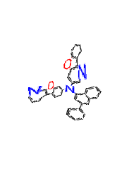 c1ccc(-c2cc(N(c3ccc4c(c3)oc3ncccc34)c3cnc4c(c3)oc3ccccc34)c3ccccc3c2)cc1